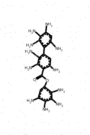 Nc1cc(OC(=O)c2c(N)cc(-c3c(N)cc(N)c(N)c3N)c(N)c2N)c(N)c(N)c1N